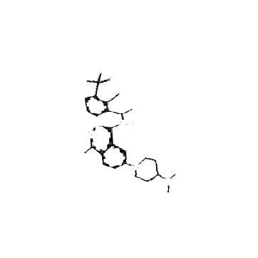 Cc1c(C(C)Nc2nnc(C)c3ccc(N4CCC(N(C)C)CC4)cc23)cccc1C(F)(F)F